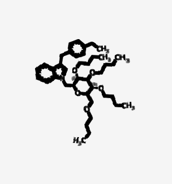 CCCCOCC1OC(Cn2cc(Cc3ccc(CC)cc3)c3ccccc32)[C@H](OCCCC)C(OCCCC)[C@@H]1OCCCC